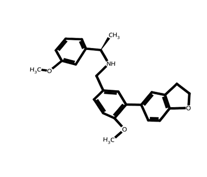 COc1cccc([C@@H](C)NCc2ccc(OC)c(-c3ccc4c(c3)CCO4)c2)c1